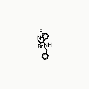 Fc1cccc2c(NCCc3ccccc3)c(Br)cnc12